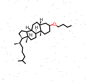 CCCCO[C@H]1CC[C@@]2(C)[C@H](CC[C@@H]3[C@@H]2CC[C@]2(C)[C@@H]([C@H](C)CCCC(C)C)CC[C@@H]32)C1